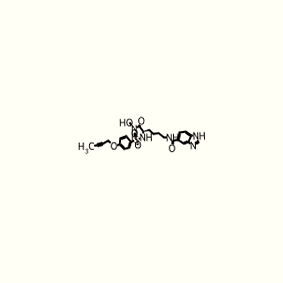 CC#CCOc1ccc(S(=O)(=O)N[C@H](CCCCNC(=O)c2ccc3[nH]cnc3c2)C(=O)NO)cc1